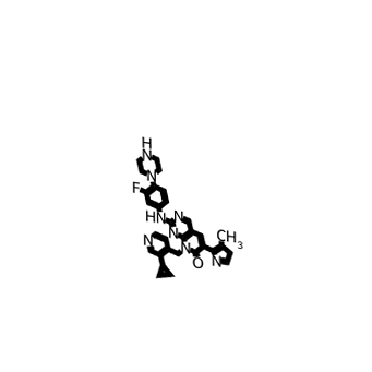 CC1=C(c2cc3cnc(Nc4ccc(N5CCNCC5)c(F)c4)nc3n(Cc3ccncc3C3CC3)c2=O)N=CC1